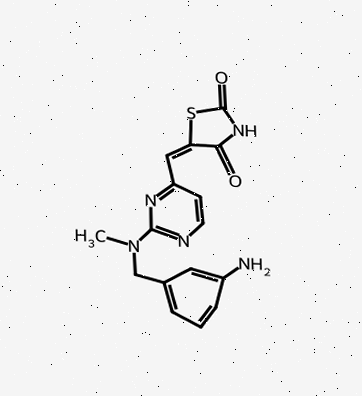 CN(Cc1cccc(N)c1)c1nccc(C=C2SC(=O)NC2=O)n1